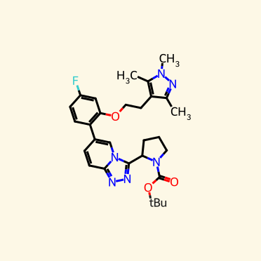 Cc1nn(C)c(C)c1CCOc1cc(F)ccc1-c1ccc2nnc(C3CCCN3C(=O)OC(C)(C)C)n2c1